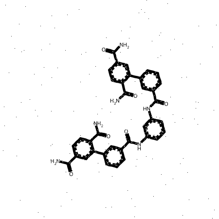 NC(=O)c1ccc(C(N)=O)c(-c2cccc(C(=O)Nc3cccc(NC(=O)c4cccc(-c5cc(C(N)=O)ccc5C(N)=O)c4)c3)c2)c1